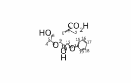 C=C(C)C(=O)O.CC(CO)OCC(O)COc1ccccc1